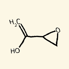 C=C(O)C1CO1